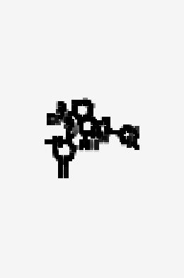 CCS(=O)(=O)c1cccc2c1nc(N[C@@H]1CNCCNC1=O)n1nc(-c3cnn(C)c3)nc21